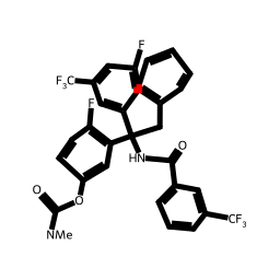 CNC(=O)Oc1ccc(F)c(C(Cc2ccccc2)(NC(=O)c2cccc(C(F)(F)F)c2)c2cc(F)cc(C(F)(F)F)c2)c1